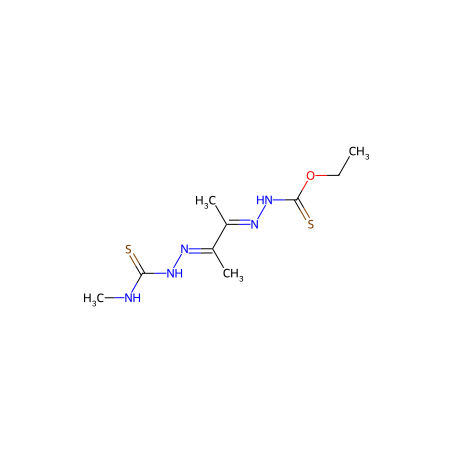 CCOC(=S)N/N=C(C)/C(C)=N/NC(=S)NC